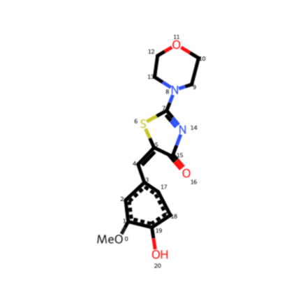 COc1cc(C=C2SC(N3CCOCC3)=NC2=O)ccc1O